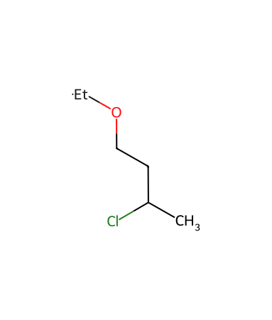 C[CH]OCCC(C)Cl